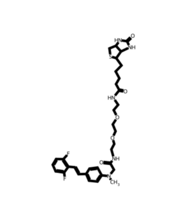 CN(CC(=O)NCCOCCOCCNC(=O)CCCCC1SCC2NC(=O)NC21)c1ccc(C=Cc2c(F)cccc2F)cc1